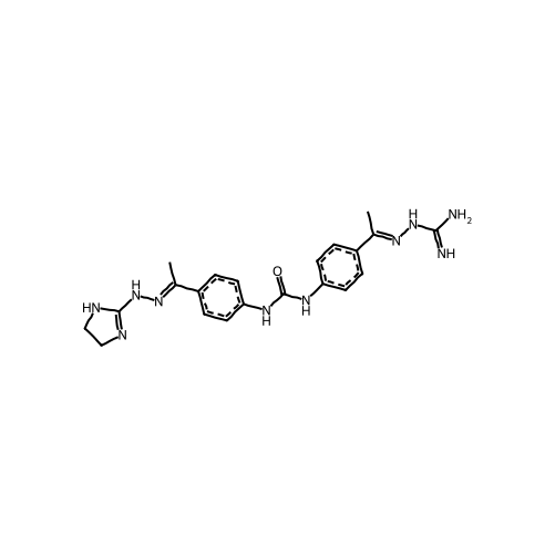 C/C(=N\NC(=N)N)c1ccc(NC(=O)Nc2ccc(/C(C)=N/NC3=NCCN3)cc2)cc1